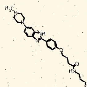 CN1CCN(c2ccc3nc(-c4ccc(OCCCC(=O)NCCCN)cc4)[nH]c3c2)CC1